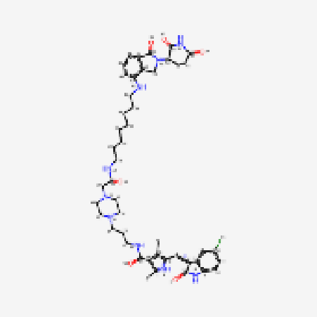 Cc1[nH]c(/C=C2\C(=O)Nc3ccc(F)cc32)c(C)c1C(=O)NCCCN1CCN(CC(=O)NCCCCCCCCNc2cccc3c2CN(C2CCC(=O)NC2=O)C3=O)CC1